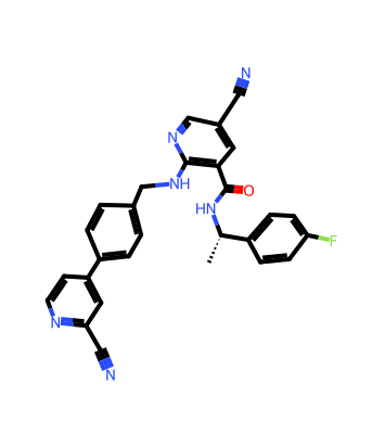 C[C@H](NC(=O)c1cc(C#N)cnc1NCc1ccc(-c2ccnc(C#N)c2)cc1)c1ccc(F)cc1